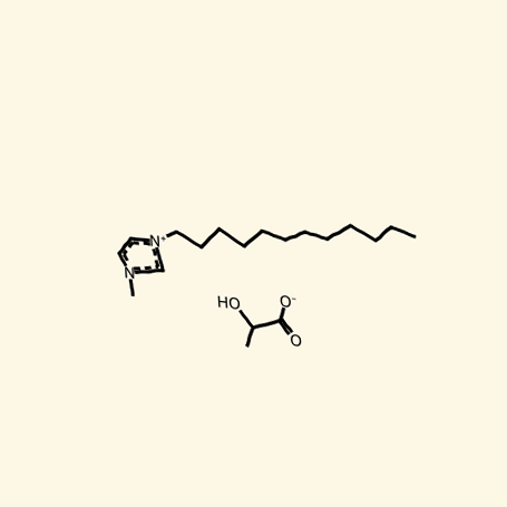 CC(O)C(=O)[O-].CCCCCCCCCCCC[n+]1ccn(C)c1